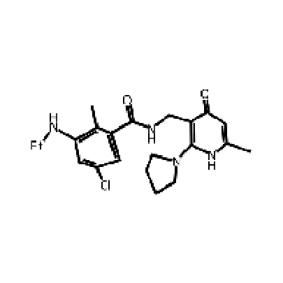 CCNc1cc(Cl)cc(C(=O)NCc2c(N3CCCC3)[nH]c(C)cc2=O)c1C